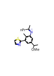 CCC/C(C)=N\c1cc(C(C)OC)cc(-c2nccs2)c1C